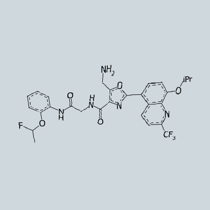 CC(C)Oc1ccc(-c2nc(C(=O)NCC(=O)Nc3ccccc3OC(C)F)c(CN)o2)c2ccc(C(F)(F)F)nc12